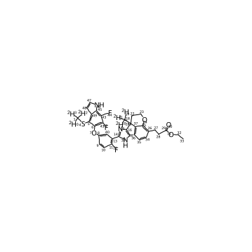 [2H]C([2H])([2H])Sc1c(Oc2ccc(F)c(-c3nc([C@]4(C([2H])([2H])[2H])CCOc5c(CCC(=O)OCC)cccc54)c[nH]3)c2)c(F)c(F)c2[nH]ccc12